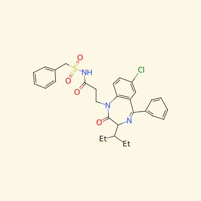 CCC(CC)C1N=C(c2ccccc2)c2cc(Cl)ccc2N(CCC(=O)NS(=O)(=O)Cc2ccccc2)C1=O